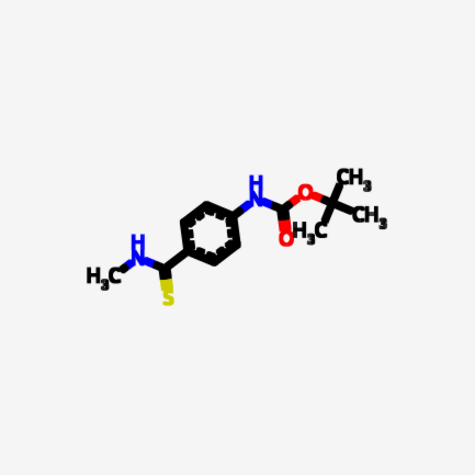 CNC(=S)c1ccc(NC(=O)OC(C)(C)C)cc1